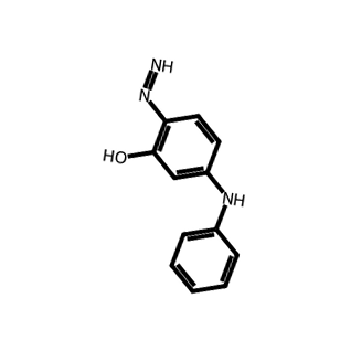 N=Nc1ccc(Nc2ccccc2)cc1O